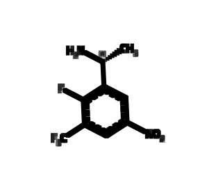 C[C@@H](N)c1cc([N+](=O)[O-])cc(C(F)(F)F)c1F